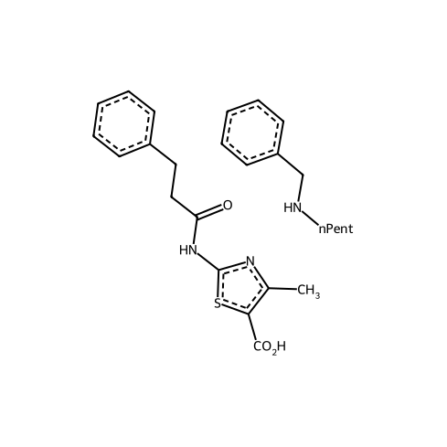 CCCCCNCc1ccccc1.Cc1nc(NC(=O)CCc2ccccc2)sc1C(=O)O